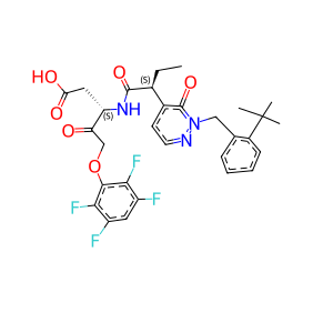 CC[C@H](C(=O)N[C@@H](CC(=O)O)C(=O)COc1c(F)c(F)cc(F)c1F)c1ccnn(Cc2ccccc2C(C)(C)C)c1=O